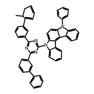 CC1CC=CC=C1c1cccc(-c2nc(-c3cccc(-c4ccccc4)c3)nc(-n3c4ccccc4c4c5c6ccccc6n(-c6ccccc6)c5ccc43)n2)c1